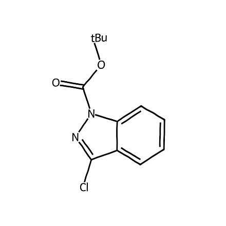 CC(C)(C)OC(=O)n1nc(Cl)c2ccccc21